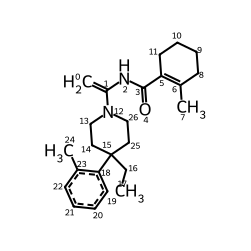 C=C(NC(=O)C1=C(C)CCCC1)N1CCC(CC)(c2ccccc2C)CC1